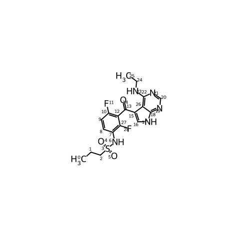 CCCS(=O)(=O)Nc1ccc(F)c(C(=O)c2c[nH]c3ncnc(NCC)c23)c1F